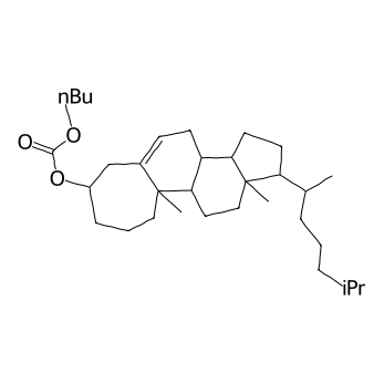 CCCCOC(=O)OC1CCCC2(C)C(=CCC3C2CCC2(C)C(C(C)CCCC(C)C)CCC32)C1